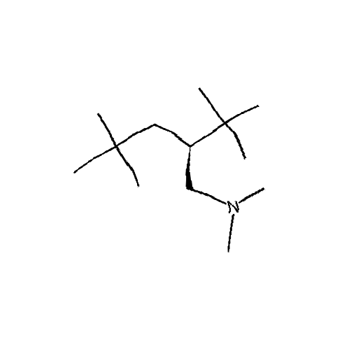 CN(C)C[C@@H](CC(C)(C)C)C(C)(C)C